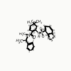 C[C@H](c1ccccc1)N(C)C(=O)C1=C(NS(=O)(=O)c2cccc3nsnc23)CC(C)(C)C=C1